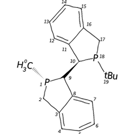 C[P@@]1Cc2ccccc2C1[C@H]1c2ccccc2CP1C(C)(C)C